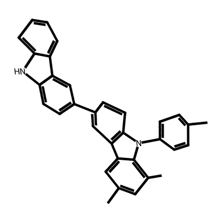 Cc1ccc(-n2c3ccc(-c4ccc5[nH]c6ccccc6c5c4)cc3c3cc(C)cc(C)c32)cc1